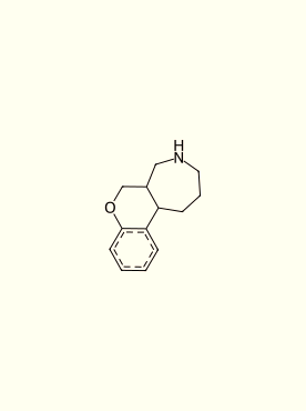 c1ccc2c(c1)OCC1CNCCCC21